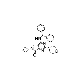 O=C1c2nc(N3CCOCC3)nc(NC(c3ccccc3)c3ccccc3)c2CN1C1CCC1